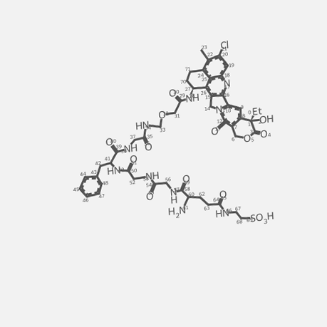 CC[C@@]1(O)C(=O)OCc2c1cc1n(c2=O)Cc2c-1nc1cc(Cl)c(C)c3c1c2[C@@H](NC(=O)COCNC(=O)CNC(=O)C(Cc1ccccc1)NC(=O)CNC(=O)CNC(=O)C(N)CCC(=O)NCCS(=O)(=O)O)CC3